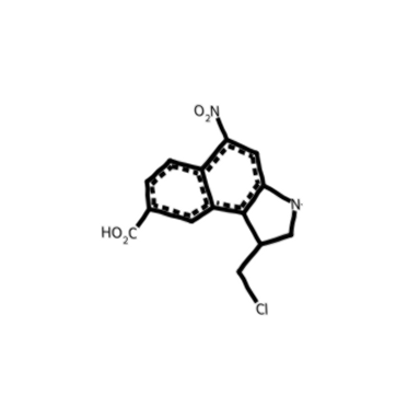 O=C(O)c1ccc2c([N+](=O)[O-])cc3c(c2c1)C(CCl)C[N]3